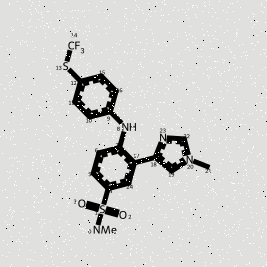 CNS(=O)(=O)c1ccc(Nc2ccc(SC(F)(F)F)cc2)c(-c2cn(C)cn2)c1